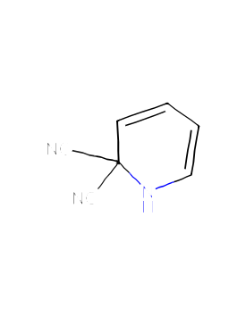 N#CC1(C#N)C=CC=CN1